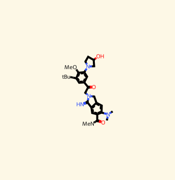 CNC(=O)c1cc2c(cc1N(C)C)CN(CC(=O)c1cc(N3CCC(O)C3)c(OC)c(C(C)(C)C)c1)C2=N